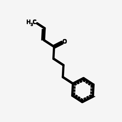 CC=CC(=O)CCCc1cc[c]cc1